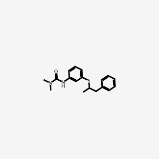 CC(Cc1ccccc1)Sc1cccc(NC(=O)N(C)C)c1